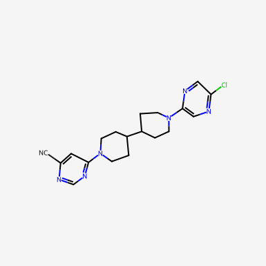 N#Cc1cc(N2CCC(C3CCN(c4cnc(Cl)cn4)CC3)CC2)ncn1